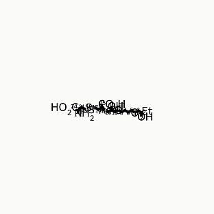 CCC(O)COCCCCOCC(O)[CH2][Ac][CH](CCSSCCC(N)C(=O)O)C(=O)O